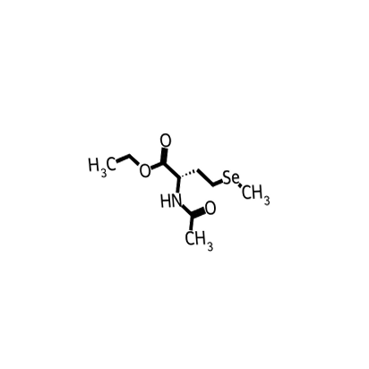 CCOC(=O)[C@H](CC[Se]C)NC(C)=O